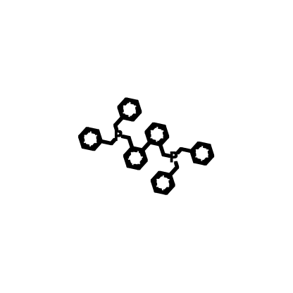 c1ccc(CP(Cc2ccccc2)Cc2ccccc2-c2ccccc2CP(Cc2ccccc2)Cc2ccccc2)cc1